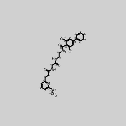 CNc1cccc(CCC(=O)NCC(=O)NCCNC(=O)c2c(Cl)cc(-c3ccccc3)cc2Cl)n1